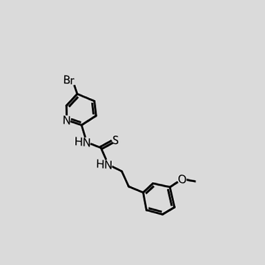 COc1cccc(CCNC(=S)Nc2ccc(Br)cn2)c1